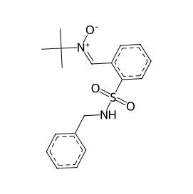 CC(C)(C)[N+]([O-])=Cc1ccccc1S(=O)(=O)NCc1ccccc1